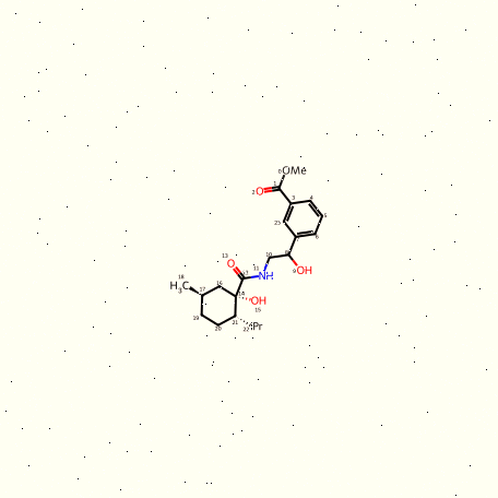 COC(=O)c1cccc(C(O)CNC(=O)[C@]2(O)C[C@H](C)CC[C@H]2C(C)C)c1